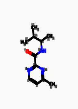 Cc1ccnc(C(=O)NC(C)C(C)C)n1